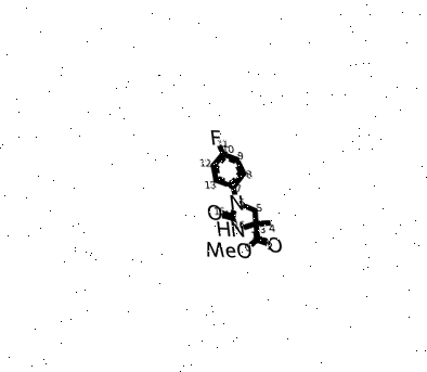 COC(=O)C1(C)CN(c2ccc(F)cc2)C(=O)N1